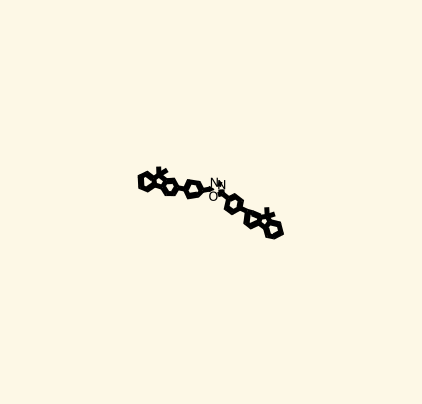 CC1(C)c2ccccc2-c2ccc(-c3ccc(-c4nnc(-c5ccc(-c6ccc7c(c6)C(C)(C)c6ccccc6-7)cc5)o4)cc3)cc21